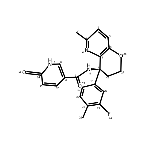 Cc1ccc2c(n1)[C@@](NC(=O)c1ccc(=O)[nH]c1)(c1ccc(C)c(F)c1)CCO2